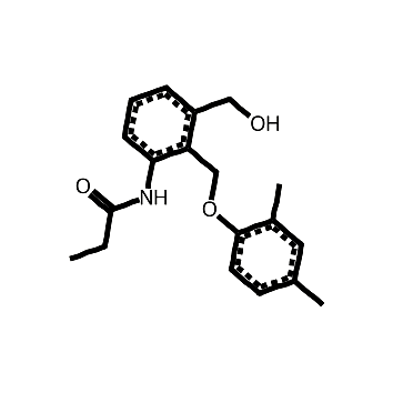 CCC(=O)Nc1cccc(CO)c1COc1ccc(C)cc1C